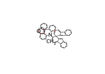 Cc1ccc2oc3ccccc3c2c1N(C1=CC=C2C(=Cc3ccccc32)C12C=CC=C1C2=Cc2ccccc21)c1ccccc1-c1ccccc1